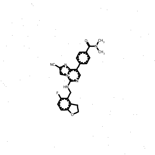 CN(C)C(=O)c1ccc(-c2cnc(NCc3c(F)ccc4c3CCO4)n3cc(C#N)nc23)cc1